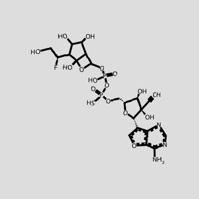 C#C[C@@]1(O)[C@H](O)[C@@H](COP(=O)(S)OP(=O)(O)OC2OC3(O)C2C(O)C(O)C3[C@@H](F)CO)O[C@H]1c1coc2c(N)ncnc12